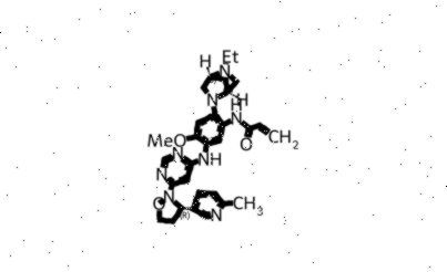 C=CC(=O)Nc1cc(Nc2cc(N3OCC[C@@H]3c3ccc(C)nc3)ncn2)c(OC)cc1N1C[C@@H]2C[C@H]1CN2CC